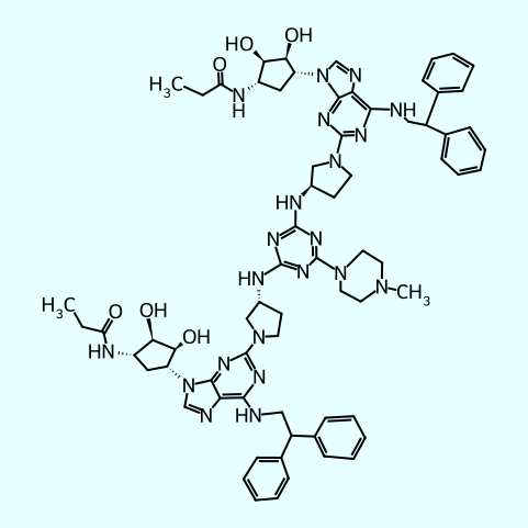 CCC(=O)N[C@H]1C[C@@H](n2cnc3c(NCC(c4ccccc4)c4ccccc4)nc(N4CC[C@@H](Nc5nc(N[C@@H]6CCN(c7nc(NCC(c8ccccc8)c8ccccc8)c8ncn([C@@H]9C[C@H](NC(=O)CC)[C@@H](O)[C@H]9O)c8n7)C6)nc(N6CCN(C)CC6)n5)C4)nc32)[C@H](O)[C@@H]1O